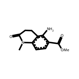 COC(=O)c1ccc2c(c1N)CCC(=O)N2C